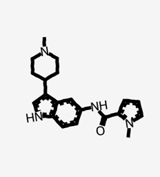 CN1CCC(c2c[nH]c3ccc(NC(=O)c4cccn4C)cc23)CC1